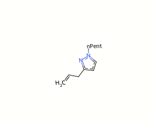 C=CCc1ccn(CCCCC)n1